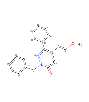 CCOC=Cc1cc(=O)n(Cc2ccccc2)nc1-c1ccccc1